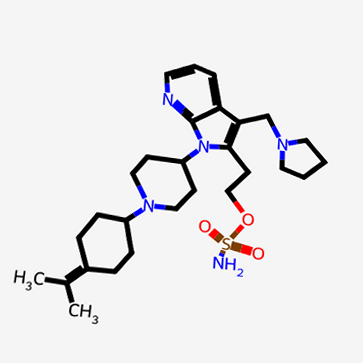 CC(C)=C1CCC(N2CCC(n3c(CCOS(N)(=O)=O)c(CN4CCCC4)c4cccnc43)CC2)CC1